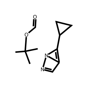 CC(C)(C)OC=O.c1nn2c(C3CC3)c1-2